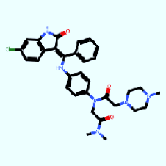 CN1CCN(CC(=O)N(CC(=O)N(C)C)c2ccc(NC(=C3C(=O)Nc4cc(Cl)ccc43)c3ccccc3)cc2)CC1